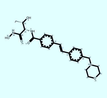 C[C@H](O)[C@H](NC(=O)c1ccc(/C=C/c2ccc(CN3CCOCC3)cc2)cc1)C(=O)NO